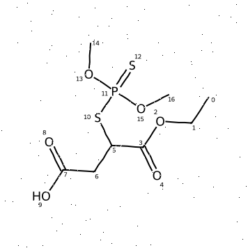 CCOC(=O)C(CC(=O)O)SP(=S)(OC)OC